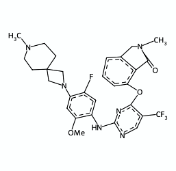 COc1cc(N2CC3(CCN(C)CC3)C2)c(F)cc1Nc1ncc(C(F)(F)F)c(Oc2cccc3c2C(=O)N(C)C3)n1